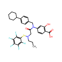 CCCN(CC(=O)N(Cc1ccc(C2CCCCC2)cc1)c1ccc(C(=O)O)c(O)c1)Sc1c(F)c(F)c(F)c(F)c1F